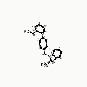 CCCCc1nc2ccccc2n1Cc1ccc(-c2ccccc2CO)cc1